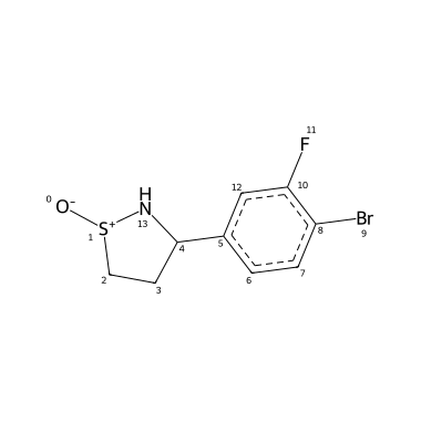 [O-][S+]1CCC(c2ccc(Br)c(F)c2)N1